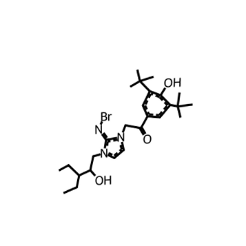 CCC(CC)C(O)Cn1ccn(CC(=O)c2cc(C(C)(C)C)c(O)c(C(C)(C)C)c2)/c1=N\Br